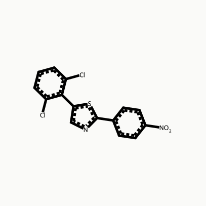 O=[N+]([O-])c1ccc(-c2ncc(-c3c(Cl)cccc3Cl)s2)cc1